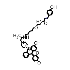 C=C(CN1CCN(C(=O)c2ccccc2-c2c3ccc(=O)cc-3oc3cc(O)ccc23)CC1)NCCCCCOCCNC(=O)/C=C/c1ccc(O)cc1